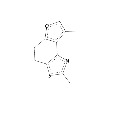 Cc1nc2c(s1)CCc1occ(C)c1-2